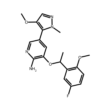 COc1ccc(F)cc1C(C)Oc1cc(-c2c(OC)cnn2C)cnc1N